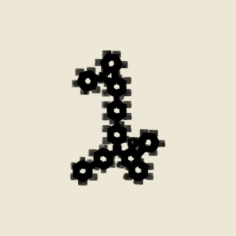 c1ccc(-c2ccc(N(c3ccc(-c4ccc(-c5ccc6c7ccccc7n(-c7ccccc7)c6c5)cc4)cc3)c3cc4ccccc4c4c3oc3ccccc34)cc2)cc1